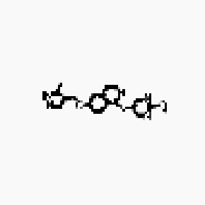 COc1ncc(Nc2nccc3cc(OCc4cn[nH]c4C)ccc23)cn1